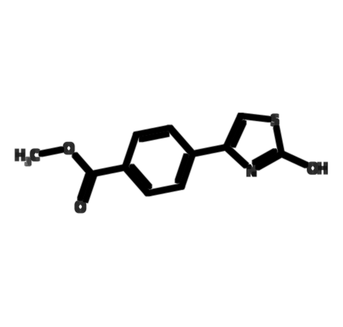 COC(=O)c1ccc(-c2csc(O)n2)cc1